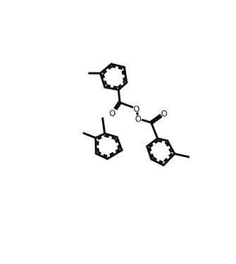 Cc1cccc(C(=O)OOC(=O)c2cccc(C)c2)c1.Cc1ccccc1C